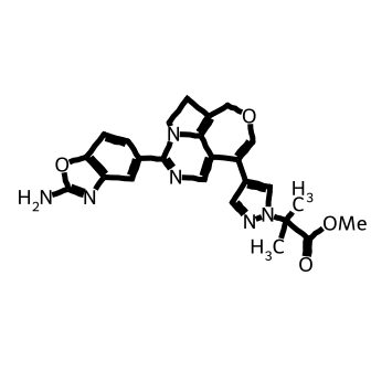 COC(=O)C(C)(C)n1cc(C2=COCC3=C4C2=CN=C(c2ccc5oc(N)nc5c2)N4CC3)cn1